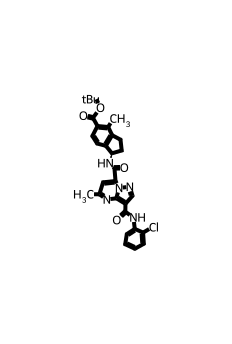 Cc1cc(C(=O)N[C@H]2CCc3c2ccc(C(=O)OC(C)(C)C)c3C)n2ncc(C(=O)Nc3ccccc3Cl)c2n1